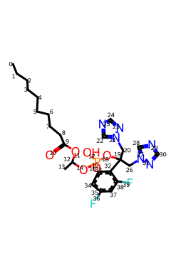 CCCCCCCCCC(=O)OC(C)OP(=O)(O)OC(Cn1cncn1)(Cn1cncn1)c1ccc(F)cc1F